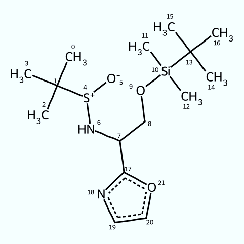 CC(C)(C)[S+]([O-])NC(CO[Si](C)(C)C(C)(C)C)c1ncco1